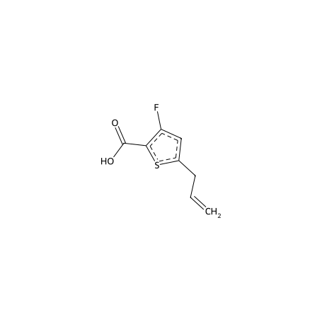 C=CCc1cc(F)c(C(=O)O)s1